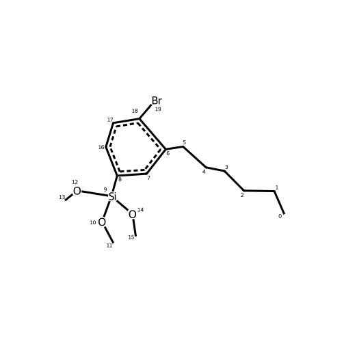 CCCCCCc1cc([Si](OC)(OC)OC)ccc1Br